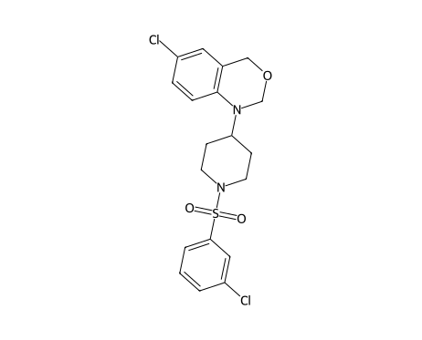 O=S(=O)(c1cccc(Cl)c1)N1CCC(N2COCc3cc(Cl)ccc32)CC1